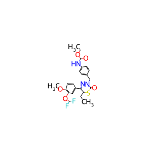 CCOC(=O)Nc1ccc(CN2N=C(c3ccc(OC)c(OC(F)F)c3)C(CC)SC2=O)cc1